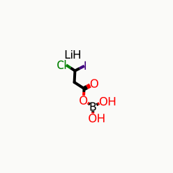 O=C(CC(Cl)I)OB(O)O.[LiH]